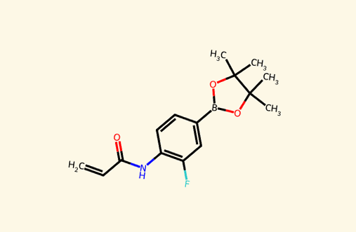 C=CC(=O)Nc1ccc(B2OC(C)(C)C(C)(C)O2)cc1F